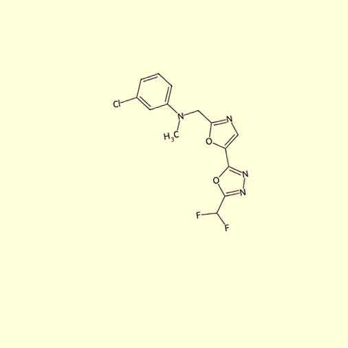 CN(Cc1ncc(-c2nnc(C(F)F)o2)o1)c1cccc(Cl)c1